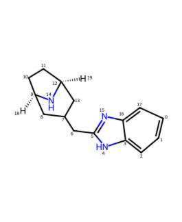 c1ccc2[nH]c(CC3C[C@H]4CC[C@@H](C3)N4)nc2c1